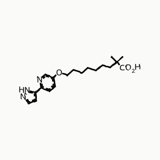 CC(C)(CCCCCCCOc1ccc(-c2ccn[nH]2)nc1)C(=O)O